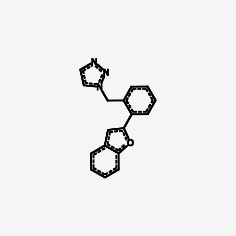 c1ccc(-c2cc3ccccc3o2)c(Cn2ccnn2)c1